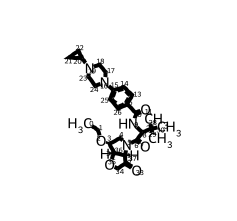 CCO[C@H]1CN(C(=O)C(NC(=O)c2ccc(N3CCN(C4CC4)CC3)cc2)C(C)(C)C)[C@@H]2C(=O)CO[C@H]12